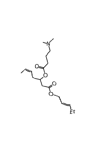 C/C=C\CC(CC(=O)OC/C=C/CC)OC(=O)CCCN(C)C